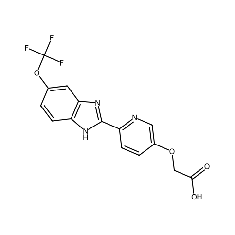 O=C(O)COc1ccc(-c2nc3cc(OC(F)(F)F)ccc3[nH]2)nc1